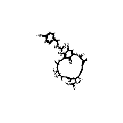 COC1/C=C\C=C(/C)C(=O)NC2=CC(=O)C(NC(=O)NCc3ccc(F)cc3)=C(CC(C)CC(OC)C(O)C(C)/C=C(\C)C1OC(N)=O)C2=O